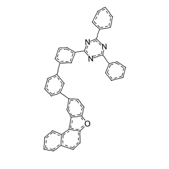 c1ccc(-c2nc(-c3ccccc3)nc(-c3cccc(-c4cccc(-c5ccc6oc7ccc8ccccc8c7c6c5)c4)c3)n2)cc1